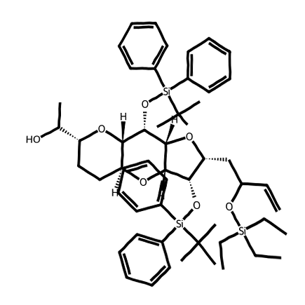 C=CC(C[C@H]1O[C@H]2[C@@H](O[Si](c3ccccc3)(c3ccccc3)C(C)(C)C)[C@H]3O[C@@H](C(C)O)CC[C@@H]3O[C@H]2[C@H]1O[Si](c1ccccc1)(c1ccccc1)C(C)(C)C)O[Si](CC)(CC)CC